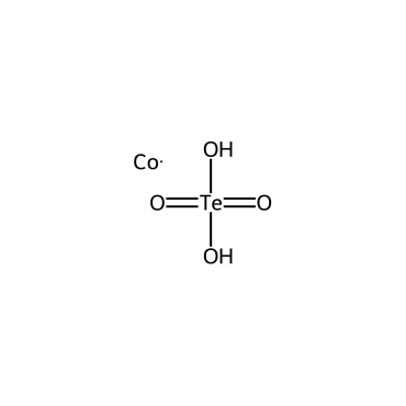 O=[Te](=O)(O)O.[Co]